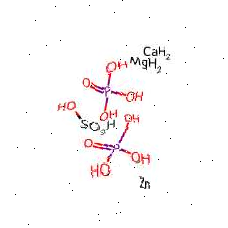 O=P(O)(O)O.O=P(O)(O)O.O=S(=O)(O)O.[CaH2].[MgH2].[Zn]